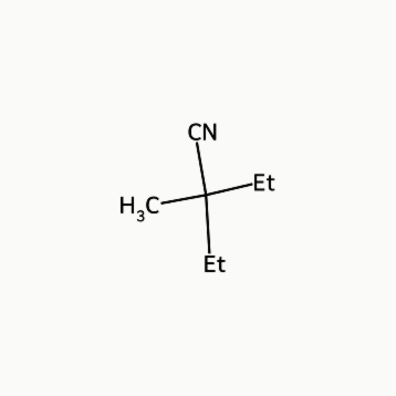 [CH2]CC(C)(C#N)CC